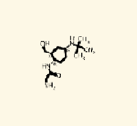 CC(C)(C)N[C@@H]1CC[C@H](NC(=O)CN)[C@@H](CO)C1